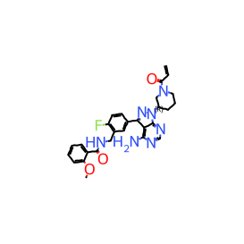 C=CC(=O)N1CCC[C@@H](n2nc(-c3ccc(F)c(CNC(=O)c4ccccc4OC)c3)c3c(N)ncnc32)C1